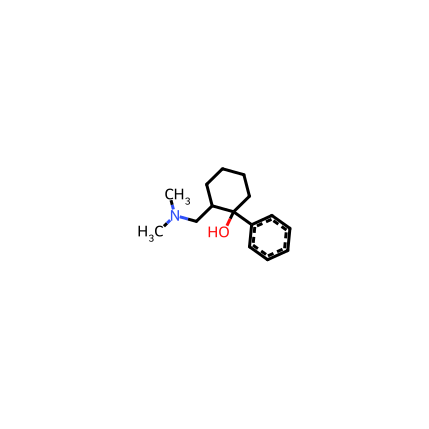 CN(C)CC1CCCCC1(O)c1ccccc1